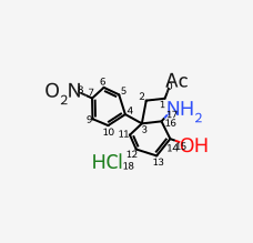 CC(=O)CCC1(c2ccc([N+](=O)[O-])cc2)C=CC=C(O)C1N.Cl